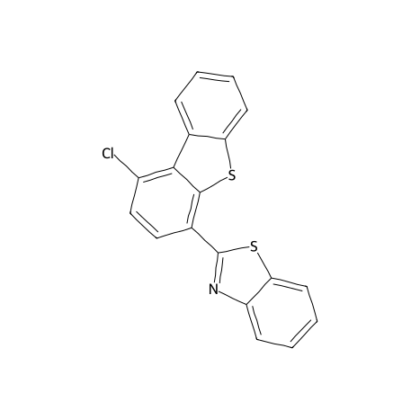 Clc1ccc(-c2nc3ccccc3s2)c2sc3ccccc3c12